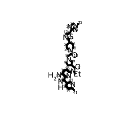 CCN(C(=O)C1CCN(CC(=O)N2CCC(c3ncc(-c4ncn(C)n4)s3)CC2)C1)c1ccc(N)c(C(=N)c2ccc(C)nc2)n1